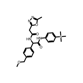 COCc1ccc(C(NC(=O)Cc2nnc(C)o2)C(=O)Nc2ccc(S(C)(C)C)cc2)cc1